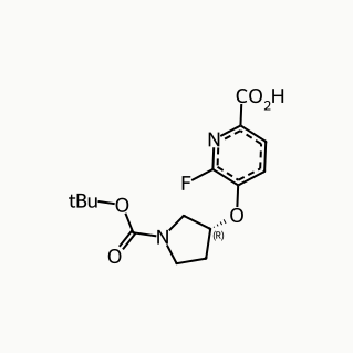 CC(C)(C)OC(=O)N1CC[C@@H](Oc2ccc(C(=O)O)nc2F)C1